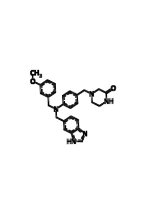 COc1cccc(CN(Cc2ccc3nc[nH]c3c2)c2ccc(CN3CCNC(=O)C3)cc2)c1